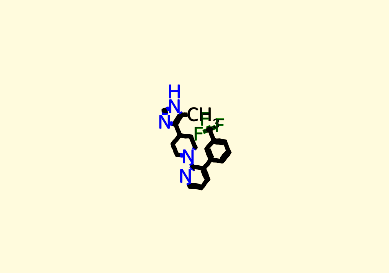 Cc1[nH]cnc1C1CCN(c2ncccc2-c2cccc(C(F)(F)F)c2)CC1